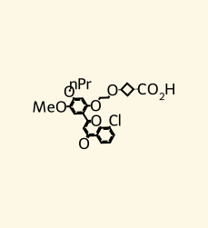 CCCOc1cc(OCCO[C@H]2C[C@@H](C(=O)O)C2)c(-c2cc(=O)c3cccc(Cl)c3o2)cc1OC